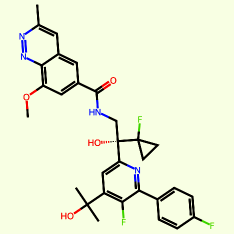 COc1cc(C(=O)NC[C@](O)(c2cc(C(C)(C)O)c(F)c(-c3ccc(F)cc3)n2)C2(F)CC2)cc2cc(C)nnc12